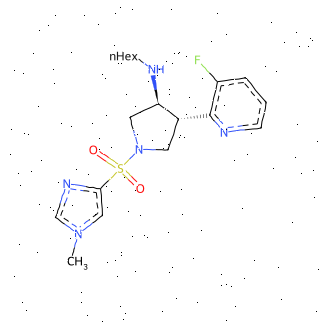 CCCCCCN[C@@H]1CN(S(=O)(=O)c2cn(C)cn2)C[C@H]1c1ncccc1F